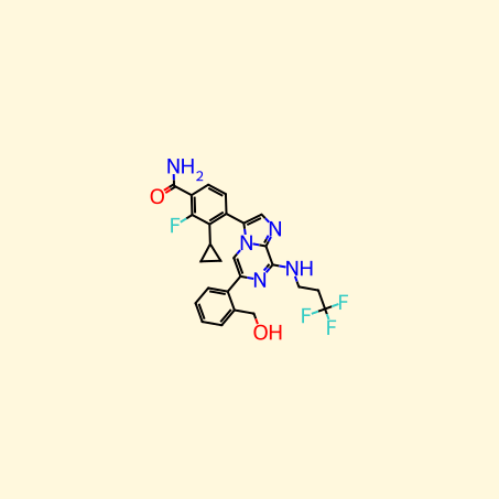 NC(=O)c1ccc(-c2cnc3c(NCCC(F)(F)F)nc(-c4ccccc4CO)cn23)c(C2CC2)c1F